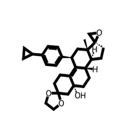 C[C@]12C[C@H](c3ccc(C4CC4)cc3)C3=C4CCC5(C[C@]4(O)CC[C@H]3[C@@H]1CC[C@@]21CO1)OCCO5